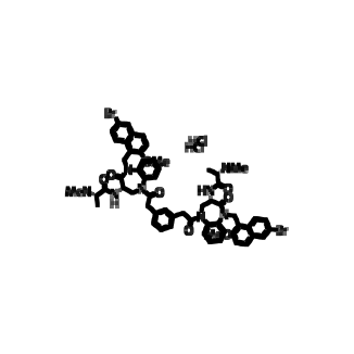 CN[C@@H](C)C(=O)N[C@H]1CN(C(=O)Cc2cccc(CC(=O)N3C[C@H](NC(=O)[C@H](C)NC)C(=O)N(Cc4c(OC)ccc5cc(Br)ccc45)c4ccccc43)c2)c2ccccc2N(Cc2c(OC)ccc3cc(Br)ccc23)C1=O.Cl.Cl